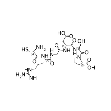 N=C(N)NCCC[C@H](NC(=O)[C@H](N)CS)C(=O)NCC(=O)N[C@@H](CC(=O)O)C(=O)N[C@@H](CO)C(=O)N1CCC[C@H]1C(=O)O